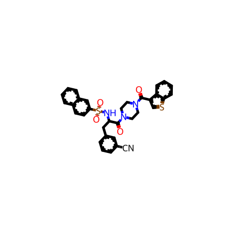 N#Cc1cccc(CC(NS(=O)(=O)c2ccc3ccccc3c2)C(=O)N2CCN(C(=O)c3csc4ccccc34)CC2)c1